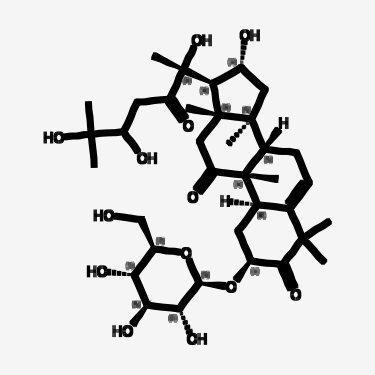 CC1(C)C(=O)[C@@H](O[C@@H]2O[C@H](CO)[C@@H](O)[C@H](O)[C@H]2O)C[C@@H]2C1=CC[C@@H]1[C@@]2(C)C(=O)C[C@]2(C)[C@@H]([C@@](C)(O)C(=O)CC(O)C(C)(C)O)[C@H](O)C[C@@]12C